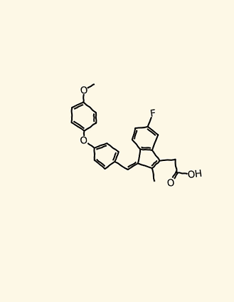 COc1ccc(Oc2ccc(/C=C3/C(C)=C(CC(=O)O)c4cc(F)ccc43)cc2)cc1